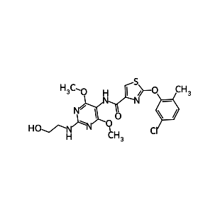 COc1nc(NCCO)nc(OC)c1NC(=O)c1csc(Oc2cc(Cl)ccc2C)n1